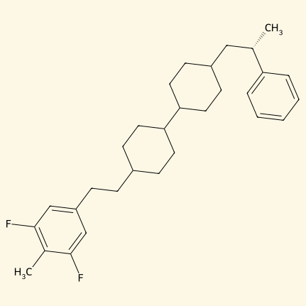 Cc1c(F)cc(CCC2CCC(C3CCC(C[C@H](C)c4ccccc4)CC3)CC2)cc1F